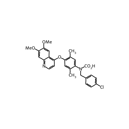 COc1cc2nccc(Oc3cc(C)c(N(Cc4ccc(Cl)cc4)C(=O)O)cc3C)c2cc1OC